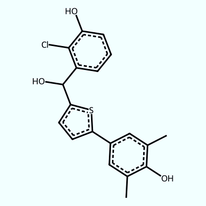 Cc1cc(-c2ccc(C(O)c3cccc(O)c3Cl)s2)cc(C)c1O